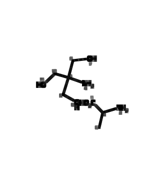 CC(N)C(=O)O.NC(CO)(CO)CO